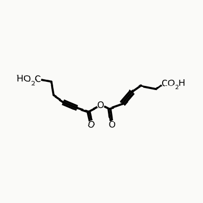 O=C(O)CCC#CC(=O)OC(=O)C#CCCC(=O)O